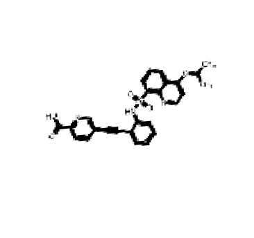 CC(C)Oc1ccnc2c(S(=O)(=O)Nc3ccccc3C#Cc3ccc(C(=O)O)nc3)cccc12